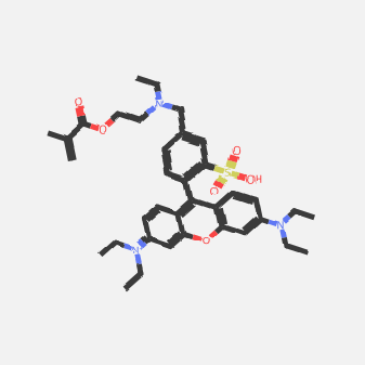 C=C(C)C(=O)OCCN(CC)Cc1ccc(-c2c3ccc(=[N+](CC)CC)cc-3oc3cc(N(CC)CC)ccc23)c(S(=O)(=O)O)c1